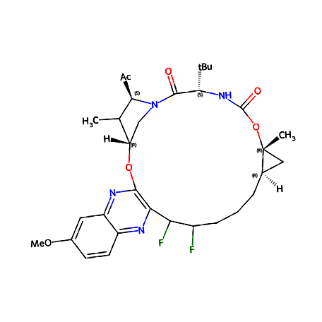 COc1ccc2nc3c(nc2c1)O[C@H]1CN(C(=O)[C@H](C(C)(C)C)NC(=O)O[C@]2(C)C[C@H]2CCCC(F)C3F)[C@H](C(C)=O)C1C